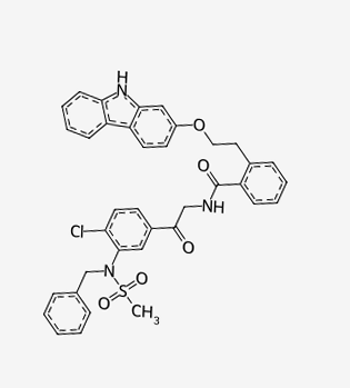 CS(=O)(=O)N(Cc1ccccc1)c1cc(C(=O)CNC(=O)c2ccccc2CCOc2ccc3c(c2)[nH]c2ccccc23)ccc1Cl